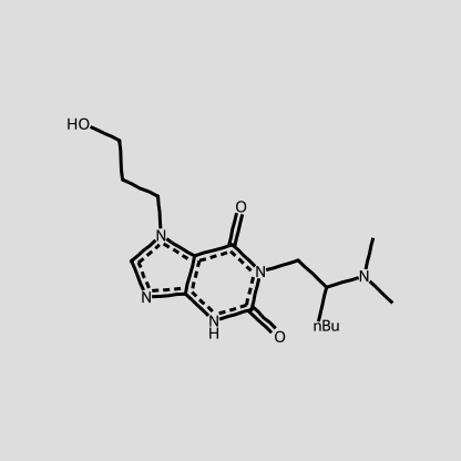 CCCCC(Cn1c(=O)[nH]c2ncn(CCCO)c2c1=O)N(C)C